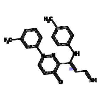 Cc1ccc(N/C(=C\C=N)c2nn(-c3cccc(C(F)(F)F)c3)ccc2=O)cc1